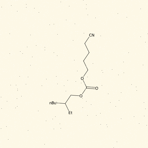 CCCCC(CC)COC(=O)OCCCCC#N